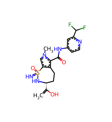 C=C(O)[C@H]1CCc2c(cn(C)c2C(=O)Nc2ccnc(C(F)F)c2)S(=N)(=O)N1